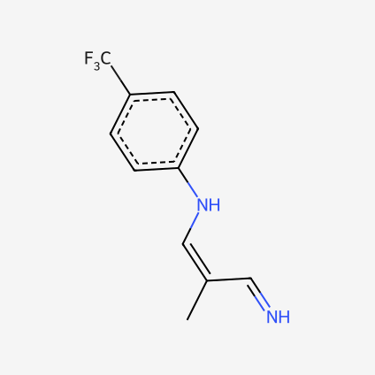 C/C(C=N)=C/Nc1ccc(C(F)(F)F)cc1